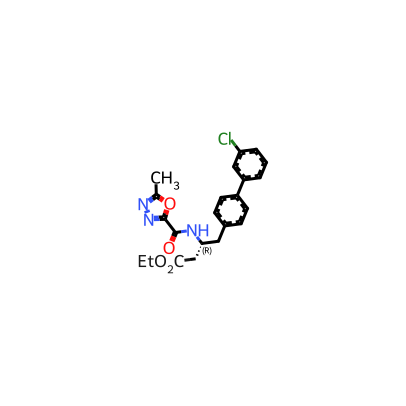 CCOC(=O)C[C@@H](Cc1ccc(-c2cccc(Cl)c2)cc1)NC(=O)c1nnc(C)o1